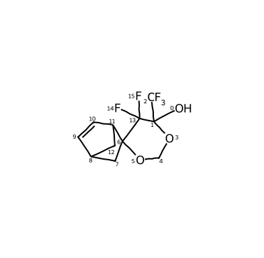 OC1(C(F)(F)F)OCOC2(CC3C=CC2C3)C1(F)F